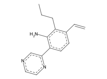 C=Cc1ccc(-c2cnccn2)c(N)c1CCC